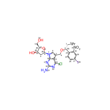 CC(C)C[C@@H](OCc1cn([C@H]2C[C@@H](O)[C@@H](CO)O2)c2nc(N)nc(Cl)c12)c1ccc(I)cc1[N+](=O)[O-]